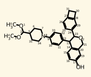 COC(OC)C1CCN(c2ccc(C3c4ccc(O)cc4COC3c3ccc4c(c3)CC4)cc2)CC1